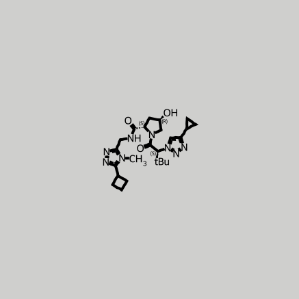 Cn1c(CNC(=O)[C@@H]2C[C@@H](O)CN2C(=O)[C@@H](n2cc(C3CC3)nn2)C(C)(C)C)nnc1C1CCC1